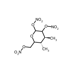 C[C@@H]1C(CO[N+](=O)[O-])OC(O[N+](=O)[O-])C(O[N+](=O)[O-])[C@H]1C